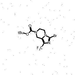 CC(C)(C)OC(=O)N1CCn2c(Br)nc(C(F)(F)F)c2C1